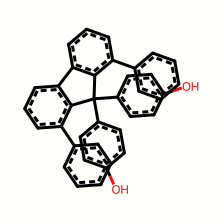 Oc1ccc(C2(c3ccc(O)cc3)c3c(-c4ccccc4)cccc3-c3cccc(-c4ccccc4)c32)cc1